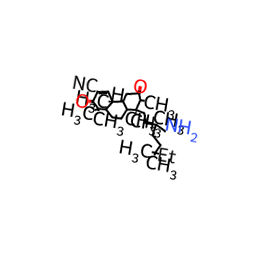 CCC(C)(C)CC[C@](C)(CN)CC[C@]1(C)C(C)C(=O)C[C@@H]2[C@@]3(C)C=C(C#N)C(=O)C(C)(C)C3CC[C@]21C